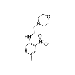 Cc1ccc(NCCN2CCOCC2)c([N+](=O)[O-])c1